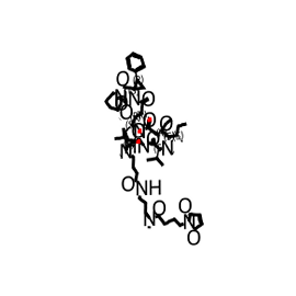 CC[C@H](C)[C@@H]([C@@H](CC(=O)N1CCC[C@H]1[C@H](OC)[C@@H](C)C(=O)N[C@@]1(C(=O)N2CCCCO2)C[C@@H]1c1ccccc1)OC)N(C)[C@H](C(=O)NC(=O)[C@H](C(C)C)N(C)CCCC(=O)NCCCN(C)C(=O)CCCN1C(=O)C=CC1=O)C(C)C